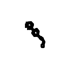 O=CC#Cc1ccc(-c2cccnn2)cc1